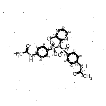 CC(=O)Nc1ccc(S(=O)(=O)N(c2nccnc2Cl)S(=O)(=O)c2ccc(NC(C)=O)cc2)cc1